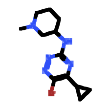 CN1CCCC(Nc2nnc(Br)c(C3CC3)n2)C1